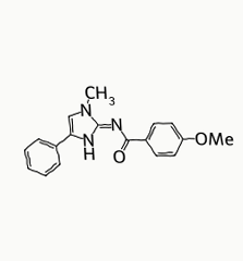 COc1ccc(C(=O)/N=c2\[nH]c(-c3ccccc3)cn2C)cc1